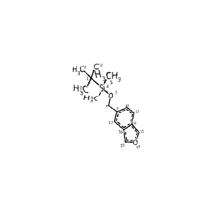 CC(C)(C)[Si](C)(C)OCc1ccc2cocc2c1